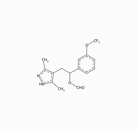 Cc1n[nH]c(C)c1CC(OC=O)c1cccc(OC(F)(F)F)c1